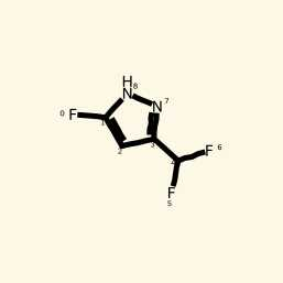 Fc1cc(C(F)F)n[nH]1